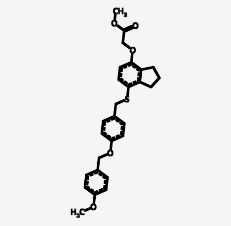 COC(=O)COc1ccc(SCc2ccc(OCc3ccc(OC)cc3)cc2)c2c1CCC2